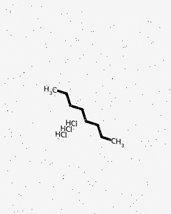 CCCCCCCC.Cl.Cl.Cl